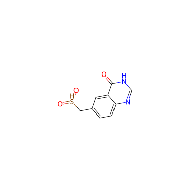 O=c1[nH]cnc2ccc(C[SH](=O)=O)cc12